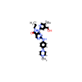 C=CCn1c(=O)c2cnc(Nc3ccc(N4CCN(C)CC4)cc3)nc2n1-c1cc(CO)c(CCCC)cn1